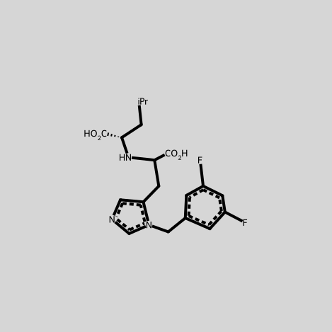 CC(C)C[C@H](NC(Cc1cncn1Cc1cc(F)cc(F)c1)C(=O)O)C(=O)O